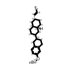 CCCCOc1ccc2c(c1)CCC(C1CCC3C[C@H](C=CF)CC[C@@H]3C1)C2